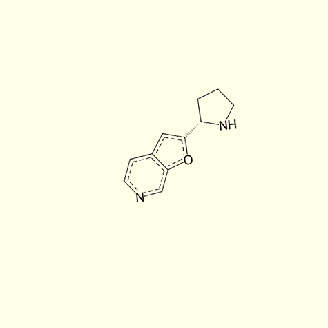 c1cc2cc([C@@H]3CCCN3)oc2cn1